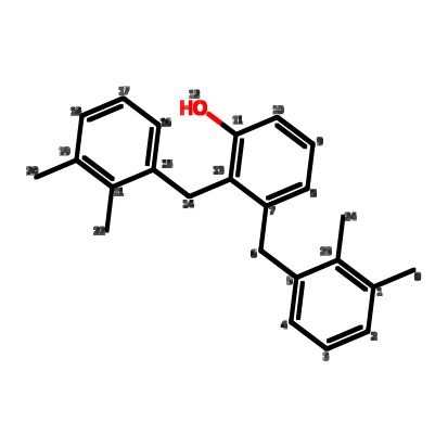 Cc1cccc(Cc2cccc(O)c2Cc2cccc(C)c2C)c1C